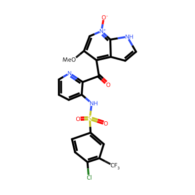 COc1c[n+]([O-])c2[nH]ccc2c1C(=O)c1ncccc1NS(=O)(=O)c1ccc(Cl)c(C(F)(F)F)c1